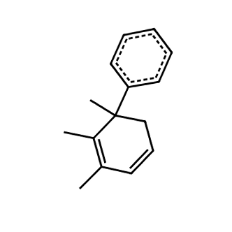 CC1=C(C)C(C)(c2ccccc2)CC=C1